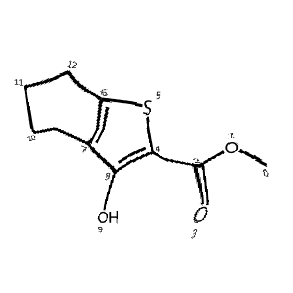 COC(=O)c1sc2c(c1O)CCC2